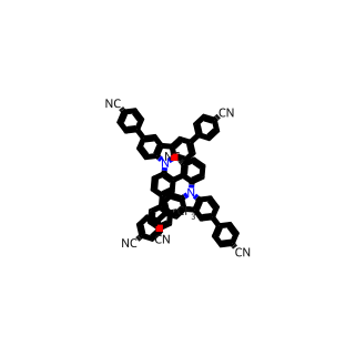 N#Cc1ccc(-c2ccc3c(c2)c2cc(-c4ccc(C#N)cc4)ccc2n3-c2ccc(-c3ccc(C#N)cc3C(F)(F)F)cc2-c2c(C#N)cccc2-n2c3ccc(-c4ccc(C#N)cc4)cc3c3cc(-c4ccc(C#N)cc4)ccc32)cc1